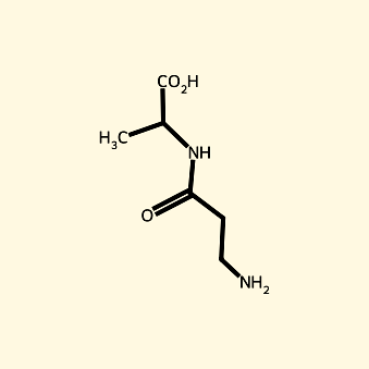 CC(NC(=O)CCN)C(=O)O